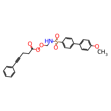 COc1ccc(-c2ccc(S(=O)(=O)NCOOC(=O)CCC#Cc3ccccc3)cc2)cc1